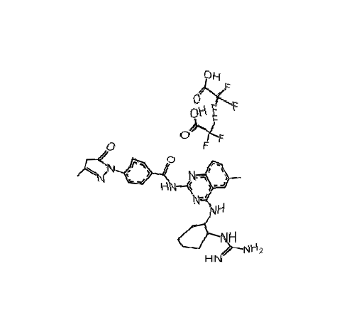 CC1=NN(c2ccc(C(=O)Nc3nc(NC4CCCCC4NC(=N)N)c4cc(C)ccc4n3)cc2)C(=O)C1.O=C(O)C(F)(F)F.O=C(O)C(F)(F)F